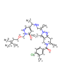 CC(NC[C@@H](C)n1nc2c(c1C(=O)O)CN(C(=O)c1ccc(Cl)c(C(F)(F)F)c1)[C@H](C)C2)c1cnn(COCC[Si](C)(C)C)c(=O)c1